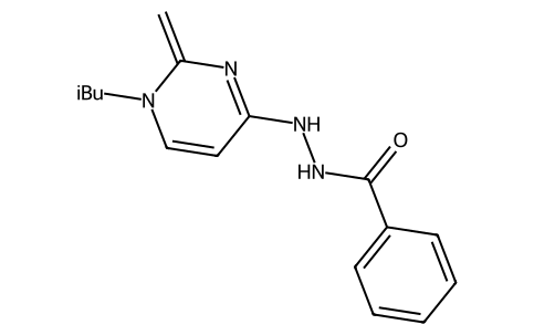 C=C1N=C(NNC(=O)c2ccccc2)C=CN1C(C)CC